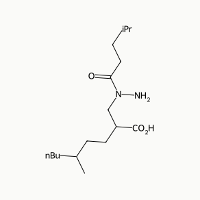 CCCCC(C)CCC(CN(N)C(=O)CCC(C)C)C(=O)O